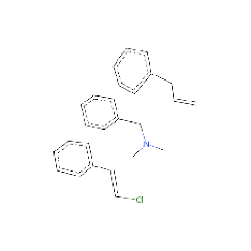 C=CCc1ccccc1.CN(C)Cc1ccccc1.ClC=Cc1ccccc1